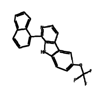 FC(F)(F)Oc1ccc2[nH]c3c(-c4cccc5ccccc45)nccc3c2c1